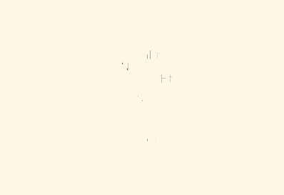 C=N/C(CCC)=C(/CC)SCCCl